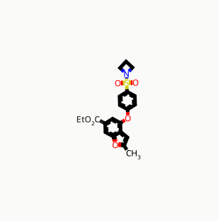 CCOC(=O)c1cc(Oc2ccc(S(=O)(=O)N3CCC3)cc2)c2cc(C)oc2c1